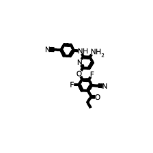 CCC(=O)c1cc(F)c(Oc2ccc(N)c(Nc3ccc(C#N)cc3)n2)c(F)c1C#N